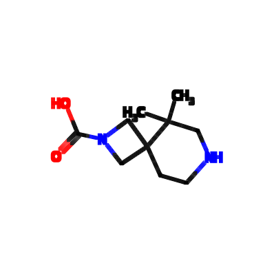 CC1(C)CNCCC12CN(C(=O)O)C2